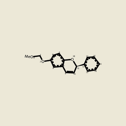 COCOc1ccc2c(c1)C=C[C@H](c1ccccc1)O2